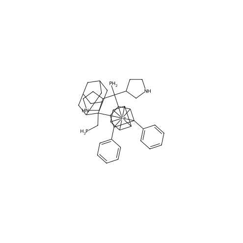 PCC1([C]23[C]4(c5ccccc5)[C]5(c6ccccc6)[CH]6[C]2(C(P)(C2CCNC2)C2CCNC2)[Fe]65432789[CH]3[CH]2[CH]7[CH]8[CH]39)C2CC3CC(C2)CC1C3